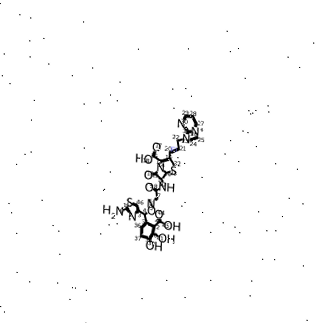 Nc1nc(C(ON=CC(=O)NC2C(=O)N3C(C(=O)O)=C(/C=C/Cn4cc[n+]5cccnc45)CSC23)c2ccc(O)c(O)c2C(=O)O)cs1